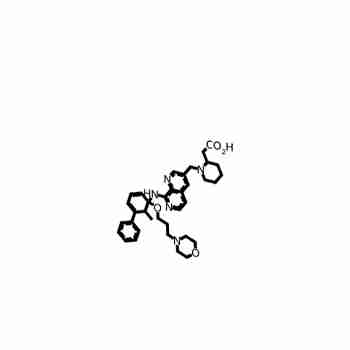 CC1C(c2ccccc2)=CC=CC1(Nc1nccc2cc(CN3CCCCC3CC(=O)O)cnc12)OCCCN1CCOCC1